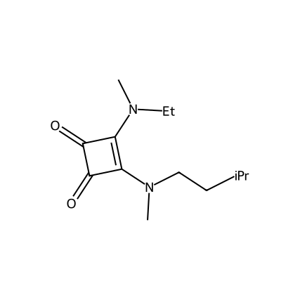 CCN(C)c1c(N(C)CCC(C)C)c(=O)c1=O